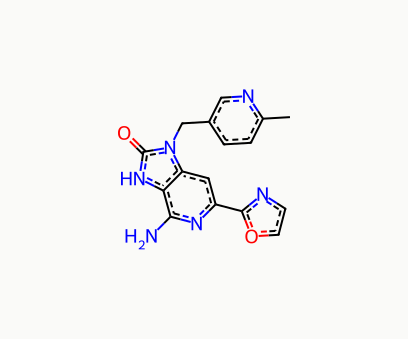 Cc1ccc(Cn2c(=O)[nH]c3c(N)nc(-c4ncco4)cc32)cn1